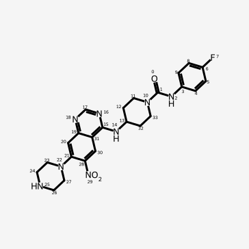 O=C(Nc1ccc(F)cc1)N1CCC(Nc2ncnc3cc(N4CCNCC4)c([N+](=O)[O-])cc23)CC1